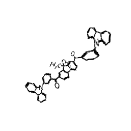 CC1(C)c2cc(C(=O)c3cccc(-n4c5ccccc5c5ccccc54)c3)ccc2-c2ccc(C(=O)c3cccc(-n4c5ccccc5c5ccccc54)c3)cc21